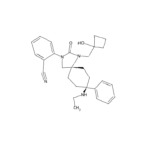 CCN[C@]1(c2ccccc2)CC[C@@]2(CC1)CN(c1ccccc1C#N)C(=O)N2CC1(O)CCC1